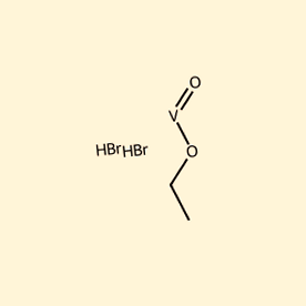 Br.Br.CC[O][V]=[O]